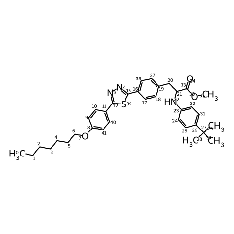 CCCCCCCOc1ccc(-c2nnc(-c3ccc(CC(Nc4ccc(C(C)(C)C)cc4)C(=O)OC)cc3)s2)cc1